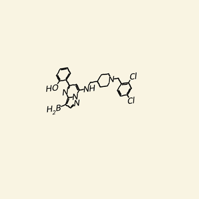 Bc1cnn2c(NCC3CCN(Cc4ccc(Cl)cc4Cl)CC3)cc(-c3ccccc3O)nc12